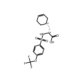 O=C(O)[C@@H](C[C@H]1CC=CCC1)NS(=O)(=O)c1ccc(OC(F)(F)F)cc1